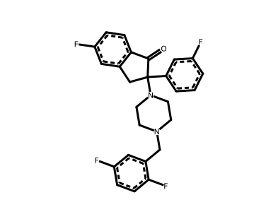 O=C1c2ccc(F)cc2CC1(c1cccc(F)c1)N1CCN(Cc2cc(F)ccc2F)CC1